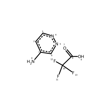 Nc1ccnnc1.O=C(O)C(F)(F)F